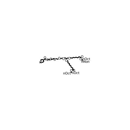 CCCCCCCCCC(CCCCCCCC)OC(=O)CCCCCCCOCC(COCCOCCOCCOCCNC(=O)C1CCN(C)CC1)OCCCCCCCC(=O)OC(CCCCCCCC)CCCCCCCC